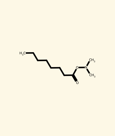 CCCCCCCC(=O)ON(C)C